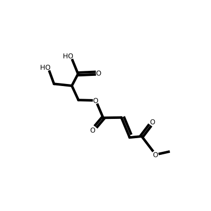 COC(=O)/C=C/C(=O)OCC(CO)C(=O)O